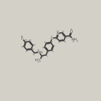 CC(Cc1ccc(Oc2ccc(C(N)=O)cn2)cc1)NCc1ccc(F)cc1